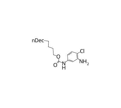 CCCCCCCCCCCCCCOC(=O)Nc1ccc(Cl)c(N)c1